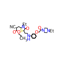 C=CCOC(=O)C(C#N)CC1SC(CCNc2cccc(OCC(=O)N3CCN(CC)CC3)c2)C(=O)N1CC